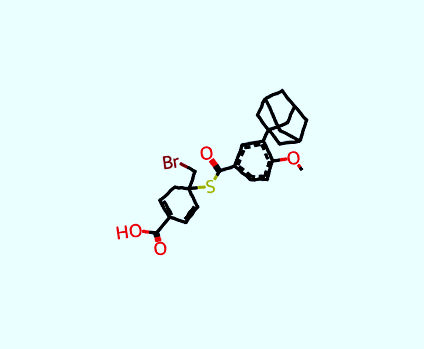 COc1ccc(C(=O)SC2(CBr)C=CC(C(=O)O)=CC2)cc1C12CC3CC(CC(C3)C1)C2